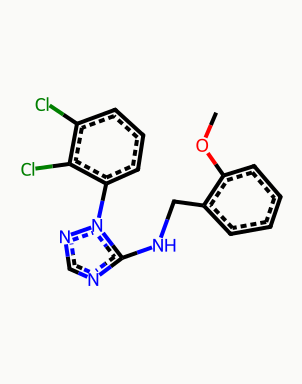 COc1ccccc1CNc1ncnn1-c1cccc(Cl)c1Cl